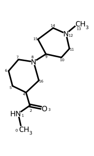 CNC(=O)C1CCCN(C2CCN(C)CC2)C1